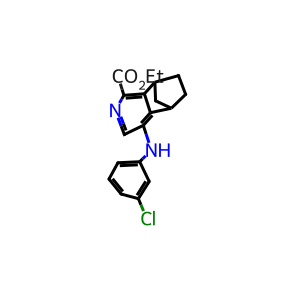 CCOC(=O)c1ncc(Nc2cccc(Cl)c2)c2c1C1CCC2C1